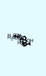 CC(C)(C)OC(=O)NS(=O)(=O)N1CCCC(C(O)c2c(C3CC3)ccn3cncc23)C1